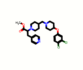 COC(=O)C(Cc1ccncc1)N1CCC(CN2CCC(Oc3ccc(Cl)c(Cl)c3)CC2)CC1